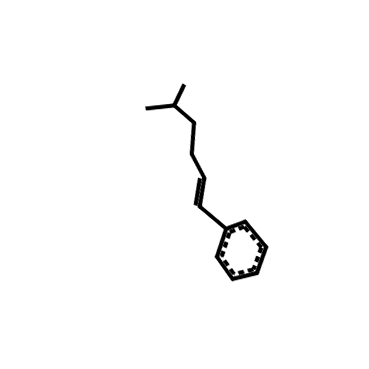 CC(C)CCC=Cc1ccccc1